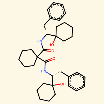 O=C(N[C@H](Cc1ccccc1)C1(O)CCCCC1)C1(C(=O)N[C@H](Cc2ccccc2)C2(O)CCCCC2)CCCCC1